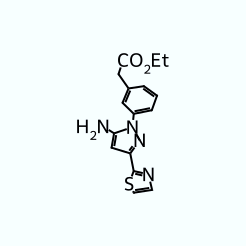 CCOC(=O)Cc1cccc(-n2nc(-c3nccs3)cc2N)c1